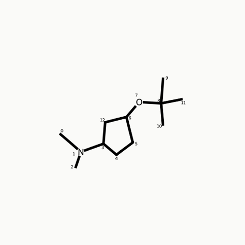 CN(C)C1CCC(OC(C)(C)C)C1